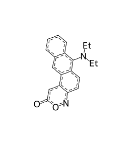 CCN(CC)c1c2ccccc2cc2c1ccc1noc(=O)cc12